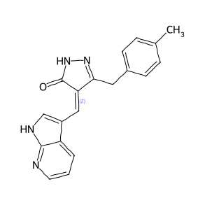 Cc1ccc(CC2=NNC(=O)/C2=C\c2c[nH]c3ncccc23)cc1